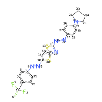 FC(F)(F)c1ccc(N=Nc2cc3sc(N=Nc4ccc(N5CCCC5)cc4)nc3s2)cc1